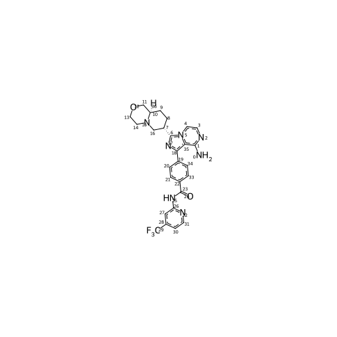 Nc1nccn2c([C@H]3CC[C@@H]4COCCN4C3)nc(-c3ccc(C(=O)Nc4cc(C(F)(F)F)ccn4)cc3)c12